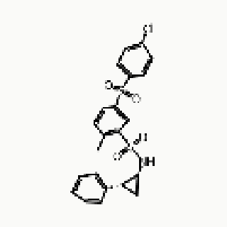 Cc1ccc(S(=O)(=O)c2ccc(Cl)cc2)cc1S(=O)(=O)N[C@H]1C[C@@H]1c1ccccc1